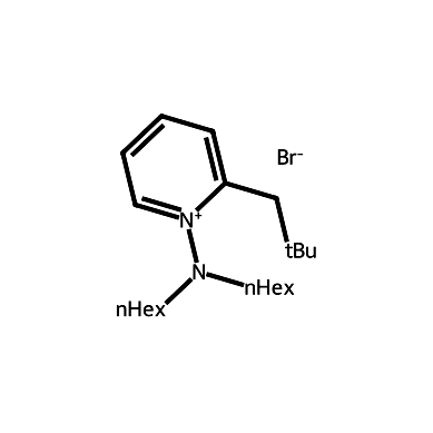 CCCCCCN(CCCCCC)[n+]1ccccc1CC(C)(C)C.[Br-]